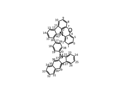 c1ccc2c(c1)Oc1cccc3c4cccc(-c5ccc(-n6c7ccccc7c7cc8ccccc8cc76)cc5)c4n-2c13